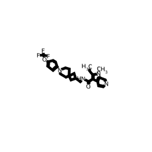 CCc1c(C(=O)NCC2CC3(CCN(c4ccc(OC(F)(F)F)cc4)CC3)C2)c2ccncc2n1C